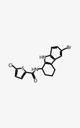 O=C(NC1CCCc2c1[nH]c1ccc(Br)cc21)c1ccc(Cl)s1